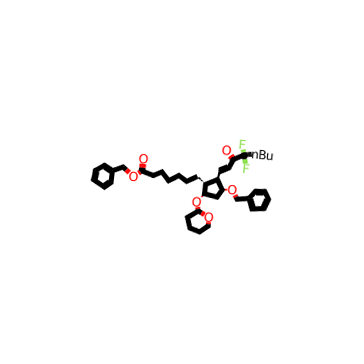 CCCCC(F)(F)C(=O)/C=C/[C@@H]1[C@@H](CCCCCCC(=O)OCc2ccccc2)[C@@H](OC2CCCCO2)C[C@H]1OCc1ccccc1